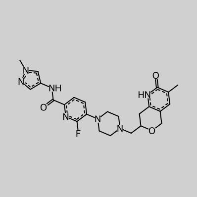 Cc1cc2c([nH]c1=O)CC(CN1CCN(c3ccc(C(=O)Nc4cnn(C)c4)nc3F)CC1)OC2